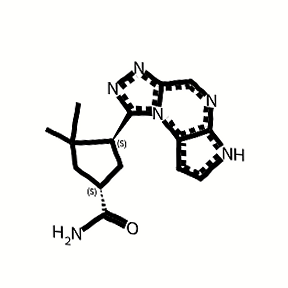 CC1(C)C[C@@H](C(N)=O)C[C@@H]1c1nnc2cnc3[nH]ccc3n12